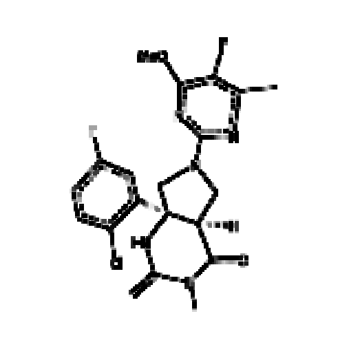 C=C1N[C@@]2(c3cc(F)ccc3Cl)CN(c3nc(C)c(F)c(OC)n3)C[C@H]2C(=O)N1C